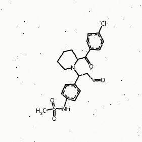 CS(=O)(=O)Nc1ccc(C(CC=O)N2CCCCC2C(=O)c2ccc(Cl)cc2)cc1